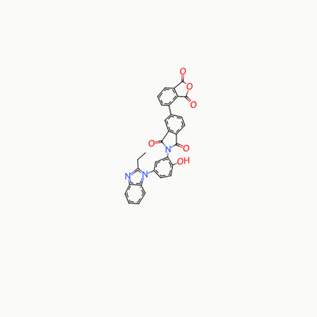 CCc1nc2ccccc2n1-c1ccc(O)c(N2C(=O)c3ccc(-c4cccc5c4C(=O)OC5=O)cc3C2=O)c1